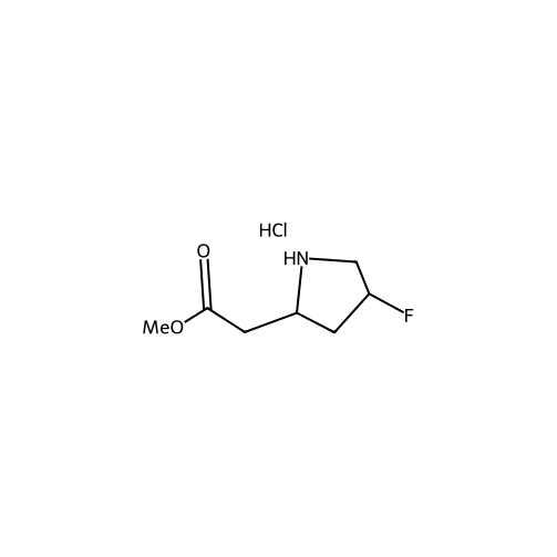 COC(=O)CC1CC(F)CN1.Cl